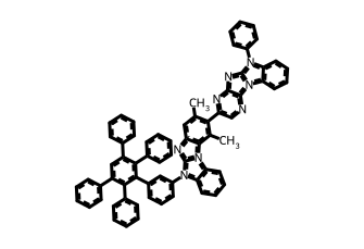 Cc1cc2nc3n(-c4cccc(-c5c(-c6ccccc6)c(-c6ccccc6)cc(-c6ccccc6)c5-c5ccccc5)c4)c4ccccc4n3c2c(C)c1-c1cnc2c(n1)nc1n(-c3ccccc3)c3ccccc3n21